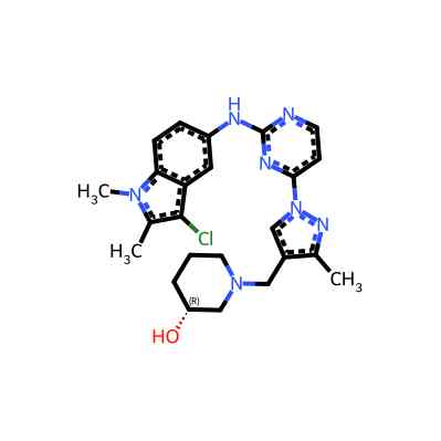 Cc1nn(-c2ccnc(Nc3ccc4c(c3)c(Cl)c(C)n4C)n2)cc1CN1CCC[C@@H](O)C1